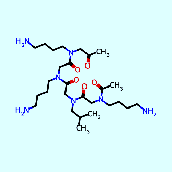 CC(=O)CN(CCCCN)C(=O)CN(CCCCN)C(=O)CN(CC(C)C)C(=O)CN(CCCCN)C(C)=O